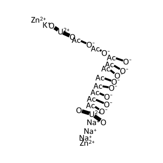 CC(=O)[O-].CC(=O)[O-].CC(=O)[O-].CC(=O)[O-].CC(=O)[O-].CC(=O)[O-].CC(=O)[O-].CC(=O)[O-].CC(=O)[O-].CC(=O)[O-].[K+].[Na+].[Na+].[Na+].[O]=[U+2]=[O].[O]=[U+2]=[O].[Zn+2].[Zn+2]